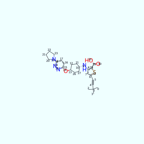 CC(C)(C)C#Cc1cc(N[C@H]2CC[C@H](Oc3ccc(N4CCCC4)nn3)CC2)c(C(=O)O)s1